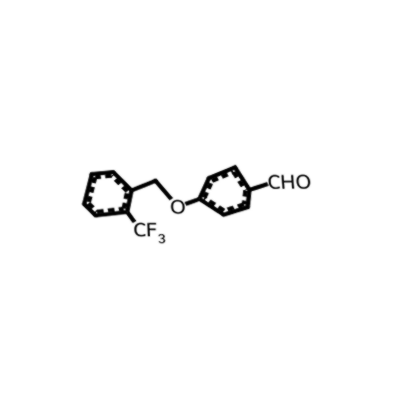 O=Cc1ccc(OCc2ccccc2C(F)(F)F)cc1